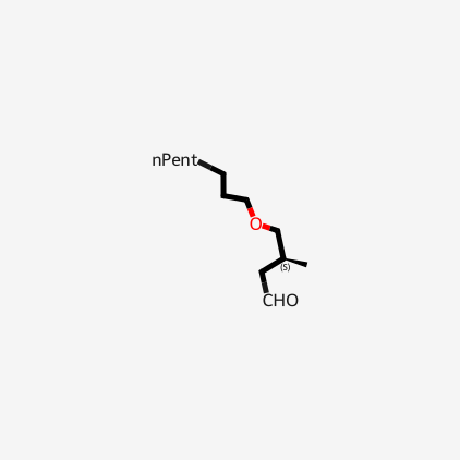 CCCCCCCCOC[C@@H](C)CC=O